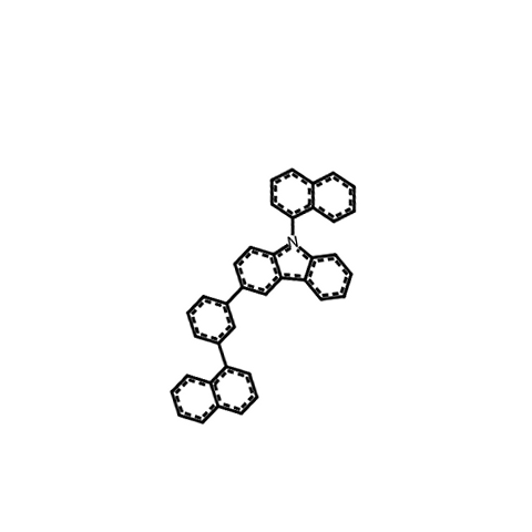 c1cc(-c2ccc3c(c2)c2ccccc2n3-c2cccc3ccccc23)cc(-c2cccc3ccccc23)c1